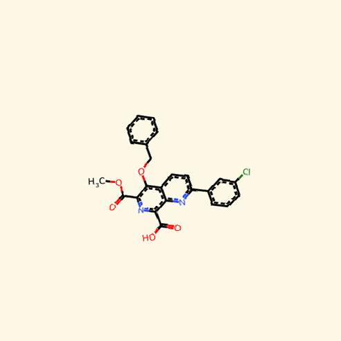 COC(=O)c1nc(C(=O)O)c2nc(-c3cccc(Cl)c3)ccc2c1OCc1ccccc1